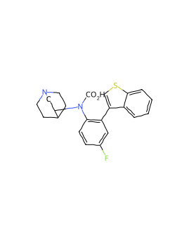 O=C(O)N(c1ccc(F)cc1-c1csc2ccccc12)C1CN2CCC1CC2